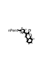 CCCCCc1nc(-c2cc3ccccc3oc2=O)cs1